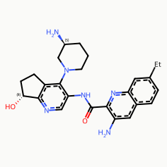 CCc1ccc2cc(N)c(C(=O)Nc3cnc4c(c3N3CCC[C@H](N)C3)CC[C@H]4O)nc2c1